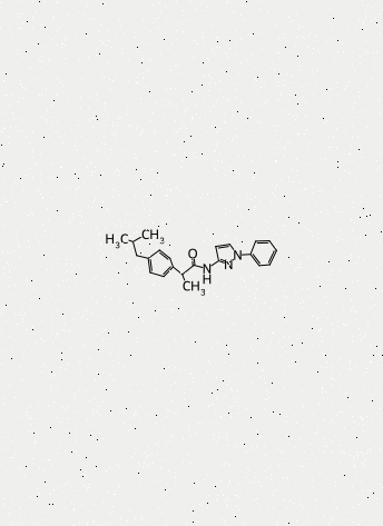 CC(C)Cc1ccc(C(C)C(=O)Nc2ccn(-c3ccccc3)n2)cc1